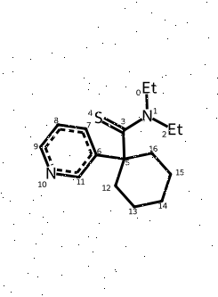 CCN(CC)C(=S)C1(c2cccnc2)CCCCC1